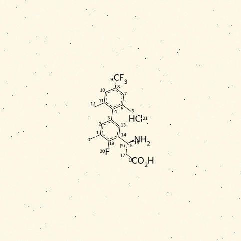 Cc1cc(-c2c(C)cc(C(F)(F)F)cc2C)cc([C@@H](N)CC(=O)O)c1F.Cl